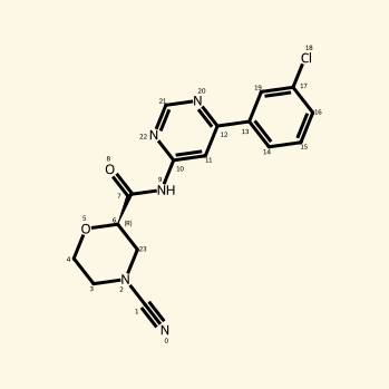 N#CN1CCO[C@@H](C(=O)Nc2cc(-c3cccc(Cl)c3)ncn2)C1